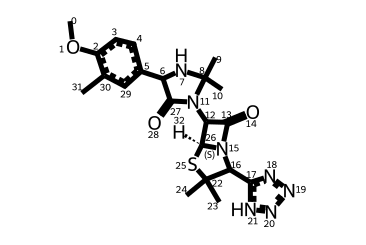 COc1ccc(C2NC(C)(C)N(C3C(=O)N4C(c5nnn[nH]5)C(C)(C)S[C@@H]34)C2=O)cc1C